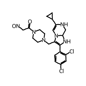 O=NCC(=O)N1CCN(CC2=C(c3ccc(Cl)cc3Cl)NC3CNC(C4CC4)=CN23)CC1